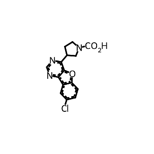 O=C(O)N1CCC(c2ncnc3c2oc2ccc(Cl)cc23)C1